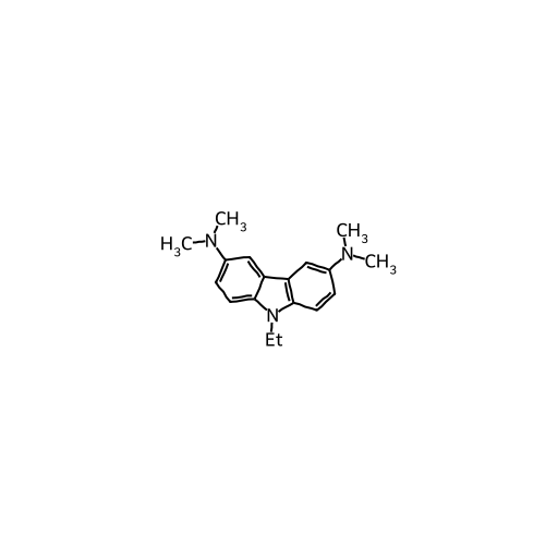 CCn1c2ccc(N(C)C)cc2c2cc(N(C)C)ccc21